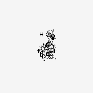 CC1CCCCN1S(=O)(=O)NC[C@H]1CN(S(=O)(=O)c2ccc(F)c(Cl)c2)c2cc(NC(=O)OC(C)(C)C(F)(F)F)ccc2O1